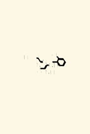 CC(C)c1nc(NCc2ccccc2Cl)c(N)c(=O)[nH]1